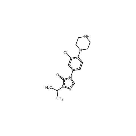 CC(C)n1ncn(-c2ccc(N3CCNCC3)c(Cl)c2)c1=O